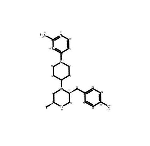 C[C@H]1CN(C2CCN(c3ccnc(N)n3)CC2)[C@@H](Cc2ccc(Cl)cc2)CO1